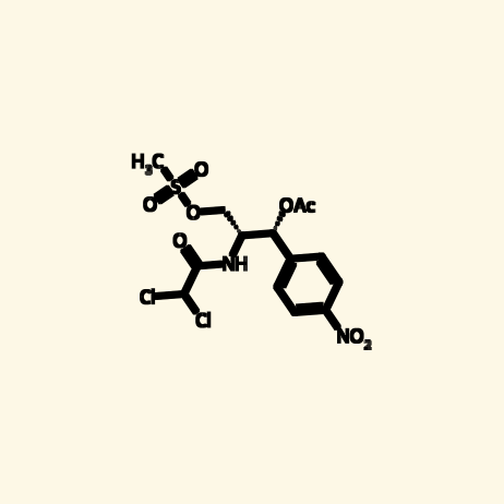 CC(=O)O[C@H](c1ccc([N+](=O)[O-])cc1)[C@@H](COS(C)(=O)=O)NC(=O)C(Cl)Cl